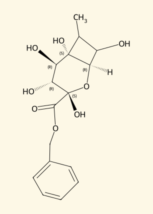 CC1C(O)[C@H]2O[C@](O)(C(=O)OCc3ccccc3)[C@H](O)[C@@H](O)[C@@]12O